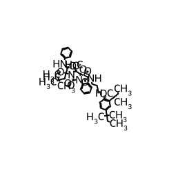 CCC(C)(C)c1ccc(OCCCNS(=O)(=O)C2(OC)C(=O)N(C(OC)(C(=O)Nc3ccccc3)C(=O)C(C)(C)C)C(=O)N2c2ccccc2)c(C(C)(C)CC)c1